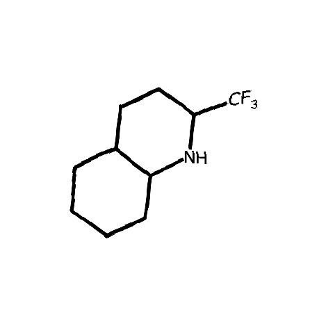 FC(F)(F)C1CCC2CCCCC2N1